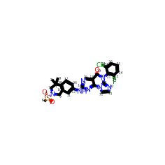 CC1(C)CN(S(C)(=O)=O)Cc2cc(Nc3ncc4c(=O)n(-c5c(F)cccc5Cl)c5nccn5c4n3)ccc21